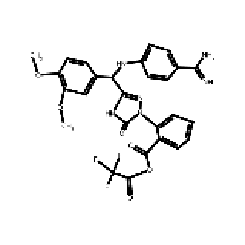 COc1ccc(C(Nc2ccc(C(=N)N)cc2)c2nn(-c3ccccc3C(=O)OC(=O)C(F)(F)F)c(=O)[nH]2)cc1OC